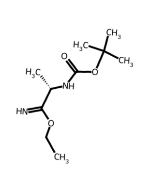 CCOC(=N)[C@H](C)NC(=O)OC(C)(C)C